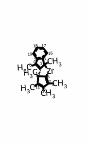 CC1=C[C](C)([Zr][C]2=C(C)C(C)=C(C)C2C)c2ccccc21